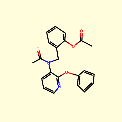 CC(=O)Oc1ccccc1CN(C(C)=O)c1cccnc1Oc1ccccc1